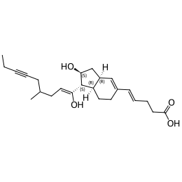 CCC#CCC(C)CC=C(O)[C@H]1[C@@H]2CCC(C=CCCC(=O)O)=C[C@@H]2C[C@@H]1O